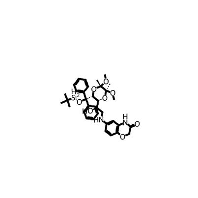 CO[C@@]1(C)O[C@H]([C@H](O)CNc2ccc3c(c2)NC(=O)CO3)[C@H](C(O[SiH2]C(C)(C)C)(c2ccccc2)c2ccccc2)O[C@]1(C)OC